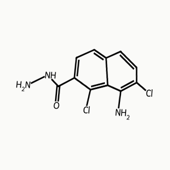 NNC(=O)c1ccc2ccc(Cl)c(N)c2c1Cl